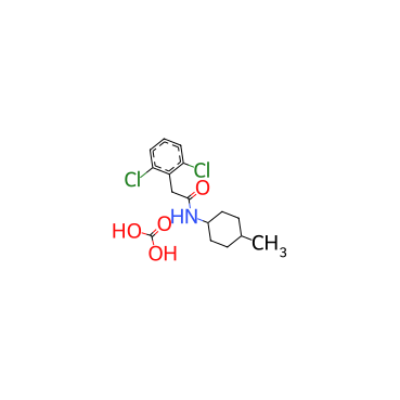 CC1CCC(NC(=O)Cc2c(Cl)cccc2Cl)CC1.O=C(O)O